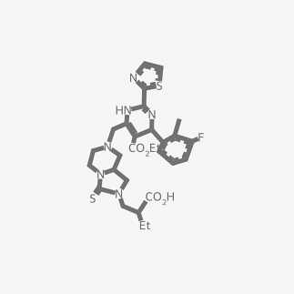 CCOC(=O)C1=C(CN2CCN3C(=S)N(CC(CC)C(=O)O)CC3C2)NC(c2nccs2)=NC1c1cccc(F)c1C